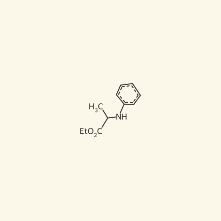 CCOC(=O)C(C)Nc1ccccc1